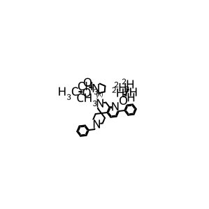 [2H]C([2H])([2H])C([2H])([2H])Oc1ccccc1-c1ccc2c(n1)CN(C[C@H]1CCCN1C(=O)OC(C)(C)C)CC21CCN(Cc2ccccc2)CC1